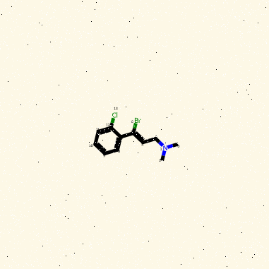 CN(C)CC=C(Br)c1ccccc1Cl